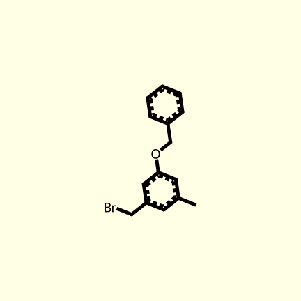 Cc1cc(CBr)cc(OCc2ccccc2)c1